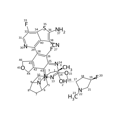 C[C@@H](O)CN1CC2CCC(C1)N2c1nc(OC[C@@H]2C[C@@H](F)CN2C)nc2c(F)c(-c3ncc(F)c4sc(N)c(C#N)c34)c3c(c12)COC3